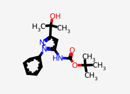 CC(C)(C)OC(=O)Nc1cc(C(C)(C)O)nn1-c1ccccc1